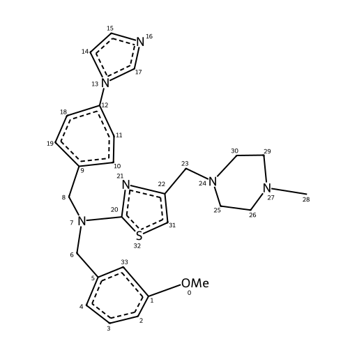 COc1cccc(CN(Cc2ccc(-n3ccnc3)cc2)c2nc(CN3CCN(C)CC3)cs2)c1